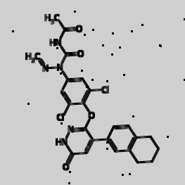 C=NN(C(=O)NC(C)=O)c1cc(Cl)c(Oc2n[nH]c(=O)cc2-c2ccc3c(c2)CCCC3)c(Cl)c1